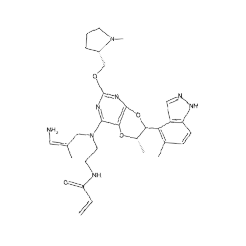 C=CC(=O)NCCN(C/C(C)=C\N)c1nc(OC[C@@H]2CCCN2C)nc2c1O[C@@H](C)C(c1c(C)ccc3[nH]ncc13)O2